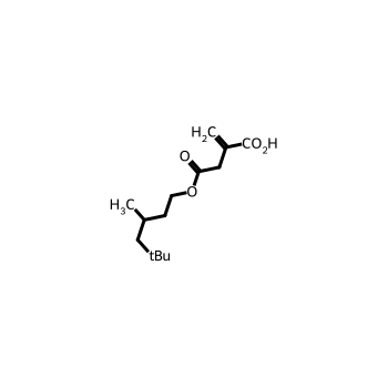 C=C(CC(=O)OCCC(C)CC(C)(C)C)C(=O)O